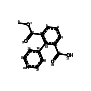 COC(=O)c1cccc(C(=O)O)c1-c1ccncc1